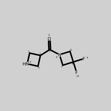 O=C(C1CNC1)N1CC(F)(F)C1